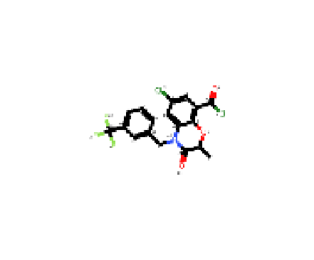 CC1Oc2c(C(=O)Cl)cc(Cl)cc2N(Cc2cccc(C(F)(F)F)c2)C1=O